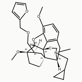 COc1ccc2c3c1O[C@H]1[C@@]4(OC)CC[C@@]5(C[C@@H]4COCc4ccco4)[C@@H](C2)[N+](C)(CC2CC2)CC[C@]315